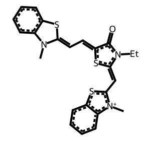 CCn1c(=O)/c(=C/C=C2\Sc3ccccc3N2C)s/c1=C\c1sc2ccccc2[n+]1C